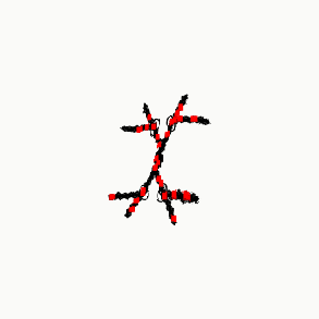 CCCCCCCCCCC(CCCCCCCC)C(=O)OCCCCCCN(CCCCCCOC(=O)C(CCCCCCCC)CCCCCCCCCC)CCN1CCN(CCN(CCCCCCOC(=O)C(CCCCCCCC)CCCCCCCCCC)CCCCCCOC(=O)C(CCCCCCCC)CCCCCCCCCC)CC1